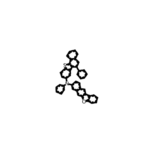 c1ccc(-c2cc3ccccc3c3sc4ccc(N(c5ccccc5)c5ccc6cc7c(cc6c5)oc5ccccc57)cc4c23)cc1